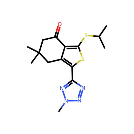 CC(C)Sc1sc(-c2nnn(C)n2)c2c1C(=O)CC(C)(C)C2